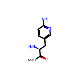 COC(=O)[C@@H](N)Cc1ccc(N)nc1